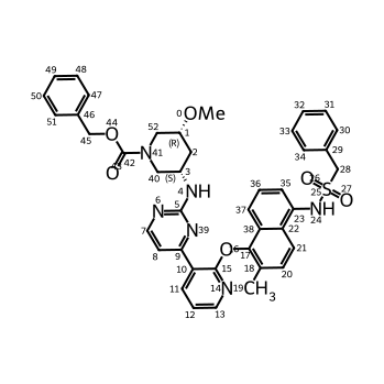 CO[C@@H]1C[C@H](Nc2nccc(-c3cccnc3Oc3c(C)ccc4c(NS(=O)(=O)Cc5ccccc5)cccc34)n2)CN(C(=O)OCc2ccccc2)C1